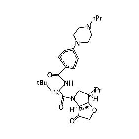 CCCN1CCN(c2ccc(C(=O)N[C@@H](CC(C)(C)C)C(=O)N3C[C@H](C(C)C)[C@H]4OCC(=O)[C@H]43)cc2)CC1